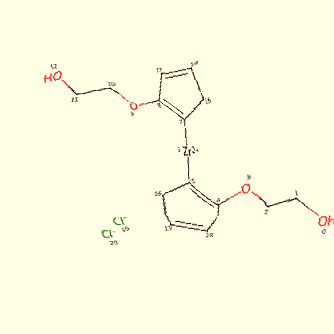 OCCOC1=[C]([Zr+2][C]2=C(OCCO)C=CC2)CC=C1.[Cl-].[Cl-]